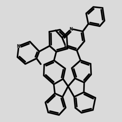 Cc1nc(-c2ccccc2)cc(-c2ccc3c(c2)C2(c4ccccc4-3)c3ccccc3-c3ccc(-c4ccccc4-c4cnccc4C)cc32)n1